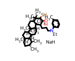 CCN(CCCC1C(O)C(S)C(C)(C)[C@@H]2CC[C@]3(C)[C@H](CC[C@@H]4[C@@H]5[C@@H](C)[C@H](C)CC[C@]5(C)CC[C@]43C)[C@@]12C)c1cccc(C)c1.[NaH]